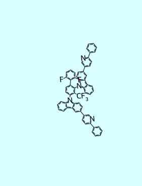 Fc1cccc(F)c1-c1ccc(-n2c3ccccc3c3cc(-c4ccc(-c5ccccc5)nc4)ccc32)c(C(F)(F)F)c1-n1c2ccccc2c2cc(-c3ccc(-c4ccccc4)nc3)ccc21